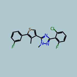 Cc1c(-c2nc(-c3c(F)cccc3Cl)nn2C)csc1-c1cccc(F)c1